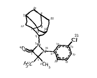 CC1(C)C(=O)N(C2C3CC4CC(C3)CC2C4)N1c1cccc(Cl)c1